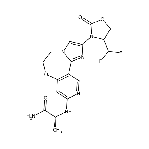 C[C@H](Nc1cc2c(cn1)-c1nc(N3C(=O)OCC3C(F)F)cn1CCO2)C(N)=O